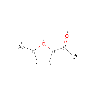 CC(=O)C1CCC(C(=O)C(C)C)O1